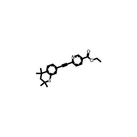 CCOC(=O)c1ccc(C#Cc2ccc3c(c2)SC(C)(C)CC3(C)C)nc1